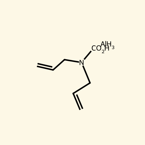 C=CCN(CC=C)C(=O)O.[AlH3]